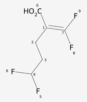 O=C(O)C(CCC(F)F)=C(F)F